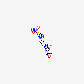 Cc1noc(C)c1-c1cc(F)cc(CNCC2CCN(c3nccc(/C=C4\SC(=O)NC4=O)n3)CC2)n1